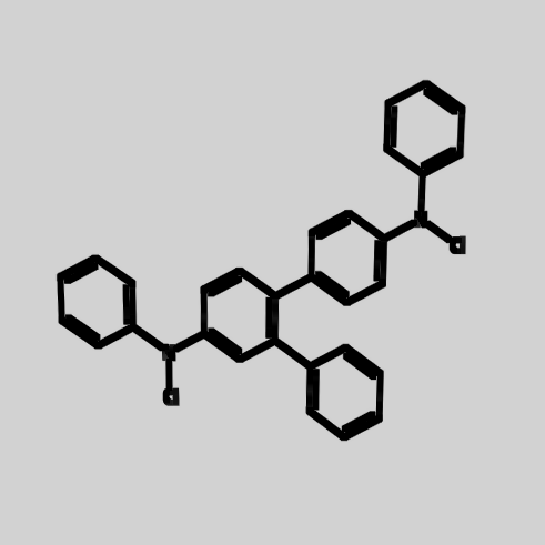 ClN(c1ccccc1)c1ccc(-c2ccc(N(Cl)c3ccccc3)cc2-c2ccccc2)cc1